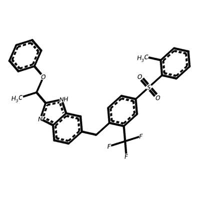 Cc1ccccc1S(=O)(=O)c1ccc(Cc2ccc3nc(C(C)Oc4ccccc4)[nH]c3c2)c(C(F)(F)F)c1